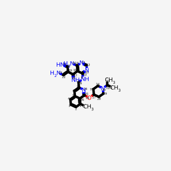 Cc1cccc2cc(CNc3ncnc(N)c3C(=N)/C(C=N)=C/N)nc(OC3CCN(C(C)C)CC3)c12